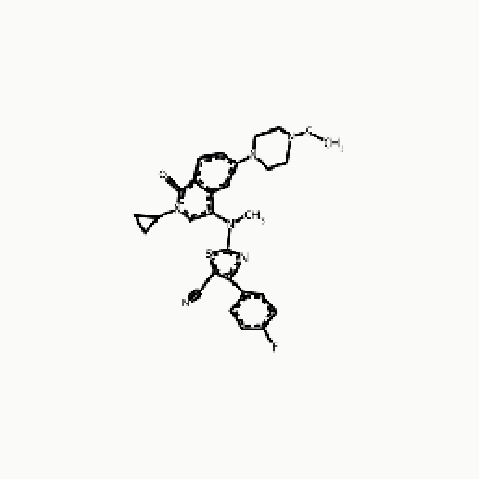 CSN1CCN(c2ccc3c(=O)n(C4CC4)cc(N(C)c4nc(-c5ccc(F)cc5)c(C#N)s4)c3c2)CC1